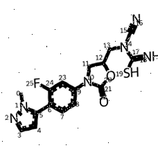 Cn1nccc1-c1ccc(N2CC(CN(C#N)C(=N)S)OC2=O)cc1F